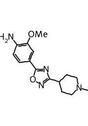 COc1cc(-c2nc(C3CCN(C)CC3)no2)ccc1N